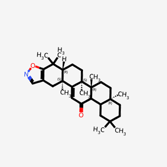 CC1(C)CC[C@]2(C)CC[C@]3(C)C(C(=O)C=C4[C@@]5(C)Cc6cnoc6C(C)(C)[C@@H]5CC[C@]43C)C2C1